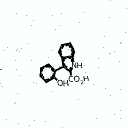 O=C(O)c1[nH]c2ccccc2c1-c1ccccc1O